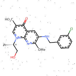 COc1nc2c(cc1NCc1cccc(Cl)c1)c(=O)c(C(=O)O)cn2[C@H](CO)C(C)C